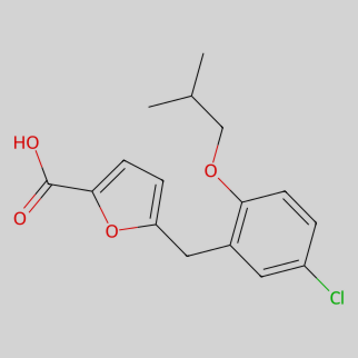 CC(C)COc1ccc(Cl)cc1Cc1ccc(C(=O)O)o1